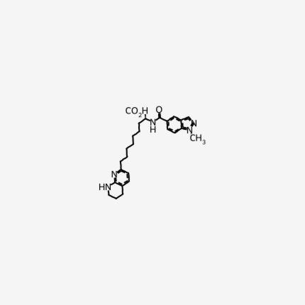 Cn1ncc2cc(C(=O)N[C@@H](CCCCCCCc3ccc4c(n3)NCCC4)C(=O)O)ccc21